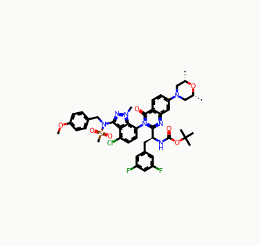 COc1ccc(CN(c2nn(C)c3c(-n4c([C@H](Cc5cc(F)cc(F)c5)NC(=O)OC(C)(C)C)nc5cc(N6C[C@@H](C)O[C@@H](C)C6)ccc5c4=O)ccc(Cl)c23)S(C)(=O)=O)cc1